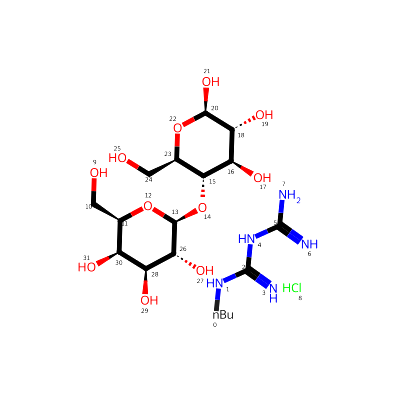 CCCCNC(=N)NC(=N)N.Cl.OC[C@H]1O[C@@H](O[C@H]2[C@H](O)[C@@H](O)[C@H](O)O[C@@H]2CO)[C@H](O)[C@@H](O)[C@H]1O